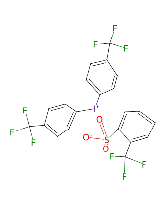 FC(F)(F)c1ccc([I+]c2ccc(C(F)(F)F)cc2)cc1.O=S(=O)([O-])c1ccccc1C(F)(F)F